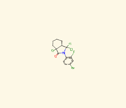 O=C1N(c2ccc(Br)cc2F)C(Cl)(Cl)C2CCCCC12Cl